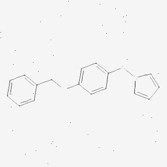 c1ccc(COc2ccc(Nn3cccc3)cc2)cc1